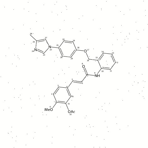 COc1ccc(C=CC(=O)Nc2ccccc2COc2ccc(-n3cnc(C)c3)cc2)cc1OC(C)=O